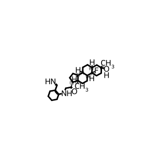 C[C@@]1(O)CC[C@@]2(F)[C@H](CC[C@H]3[C@@H]4CC[C@H](C(=O)CNC5=C(C=N)CCCC5)[C@@]4(C)CC[C@@H]32)C1